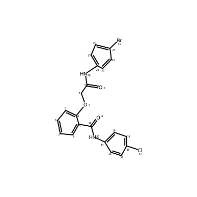 O=C(COc1ccccc1C(=O)Nc1ccc(Cl)cc1)Nc1ccc(Br)cc1